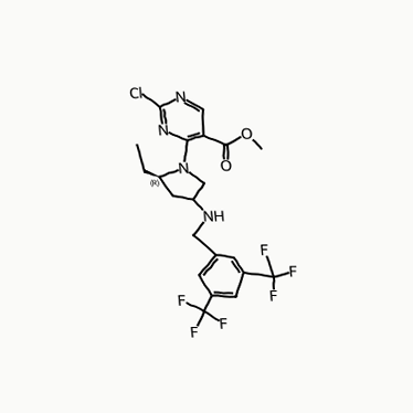 CC[C@@H]1CC(NCc2cc(C(F)(F)F)cc(C(F)(F)F)c2)CN1c1nc(Cl)ncc1C(=O)OC